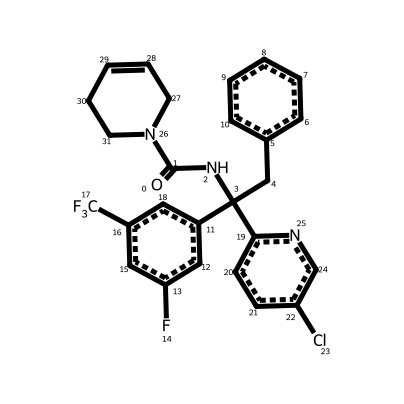 O=C(NC(Cc1ccccc1)(c1cc(F)cc(C(F)(F)F)c1)c1ccc(Cl)cn1)N1CC=CCC1